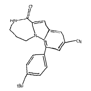 CC(C)(C)c1ccc(-c2cc(C#N)cc3cc4n(c23)CCCNC4=O)cc1